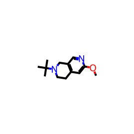 COc1cc2c(cn1)CN(C(C)(C)C)CC2